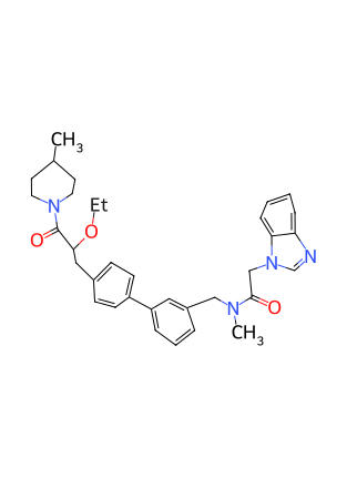 CCOC(Cc1ccc(-c2cccc(CN(C)C(=O)Cn3cnc4ccccc43)c2)cc1)C(=O)N1CCC(C)CC1